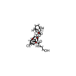 O=C(NCCO)c1cc(Cl)ccc1OCC(=O)N1[C@@H]2CC[C@H]1CC(Oc1ccc(F)cc1)C2